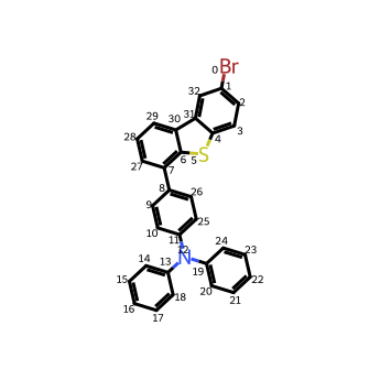 Brc1ccc2sc3c(-c4ccc(N(c5ccccc5)c5ccccc5)cc4)cccc3c2c1